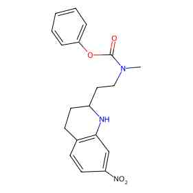 CN(CCC1CCc2ccc([N+](=O)[O-])cc2N1)C(=O)Oc1ccccc1